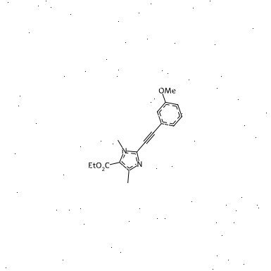 CCOC(=O)c1c(C)nc(C#Cc2cccc(OC)c2)n1C